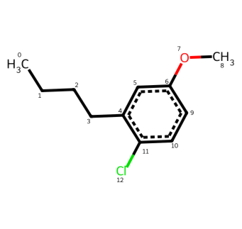 CCCCc1cc(OC)ccc1Cl